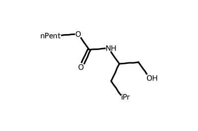 CCCCCOC(=O)NC(CO)CC(C)C